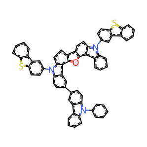 c1ccc(-n2c3ccccc3c3cc(-c4ccc5c(c4)c4c6oc7c(ccc8c7c7ccccc7n8-c7ccc8sc9ccccc9c8c7)c6ccc4n5-c4ccc5sc6ccccc6c5c4)ccc32)cc1